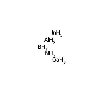 B.N.[AlH3].[GaH3].[InH3]